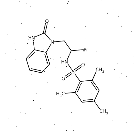 Cc1cc(C)c(S(=O)(=O)NC(Cn2c(=O)[nH]c3ccccc32)C(C)C)c(C)c1